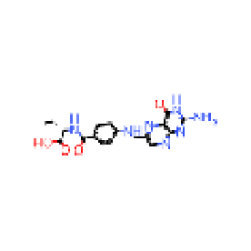 CC[C@H](NC(=O)c1ccc(NCc2cnc3nc(N)[nH]c(=O)c3n2)cc1)C(=O)O